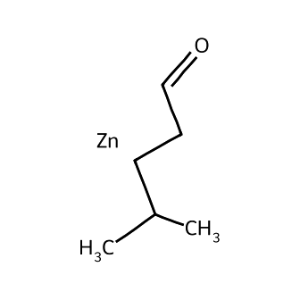 CC(C)CCC=O.[Zn]